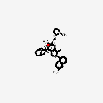 Cc1ccc2c(-c3ncc4c(N5CC6CCC(C5)N6C(=O)OC(C)(C)C)nc(OC[C@@H]5CCCN5C)nc4c3F)cccc2c1